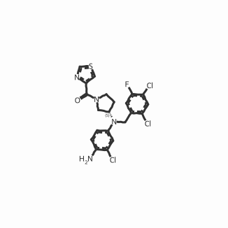 Nc1ccc(N(Cc2cc(F)c(Cl)cc2Cl)[C@H]2CCN(C(=O)c3cscn3)C2)cc1Cl